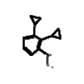 NNc1cccc(C2CC2)c1C1CC1